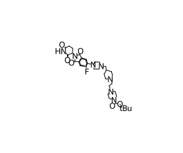 CC(C)(C)OC(=O)N1CCN(CCN2CCC(CN3CCN(c4cc5c(cc4F)C(=O)N(C4CCC(=O)NC4=O)C5=O)CC3)CC2)CC1